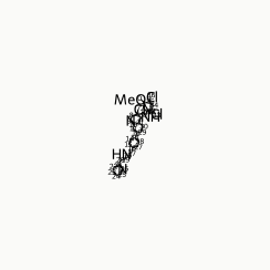 COc1cc(Nc2c(C#N)cnc3cc(-c4ccc(CNCCc5ccccn5)cc4)ccc23)c(Cl)cc1Cl